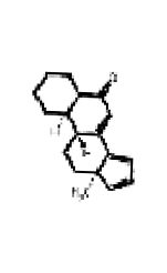 C[C@@]12C=CC=C1C1=CC(=O)C3CCCC[C@@H]3[C@H]1CC2